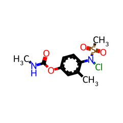 CNC(=O)Oc1ccc(N(Cl)S(C)(=O)=O)c(C)c1